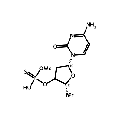 CCC[C@H]1O[C@@H](n2ccc(N)nc2=O)CC1OP(O)(=S)OC